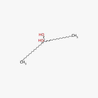 CCCCCCCCCCCCCCC=CC=CC(O)(C=CCCCCCCCCCCCCCCCCC)CC=CO